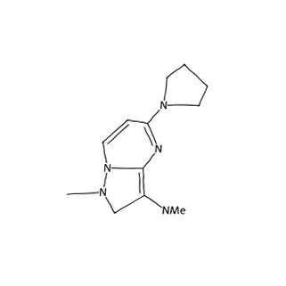 CNC1=C2N=C(N3CCCC3)C=CN2N(C)C1